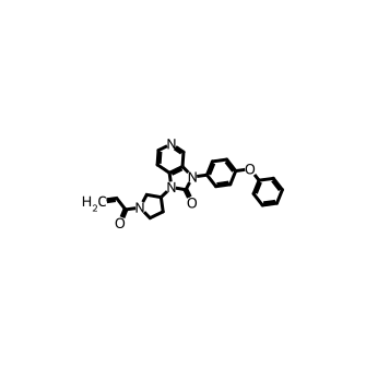 C=CC(=O)N1CCC(n2c(=O)n(-c3ccc(Oc4ccccc4)cc3)c3cnccc32)C1